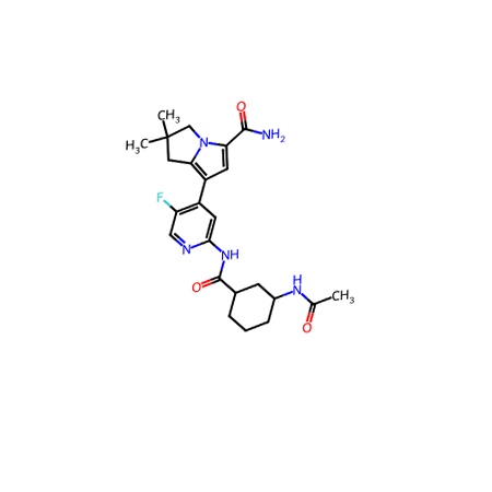 CC(=O)NC1CCCC(C(=O)Nc2cc(-c3cc(C(N)=O)n4c3CC(C)(C)C4)c(F)cn2)C1